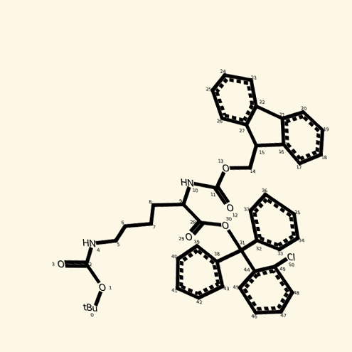 CC(C)(C)OC(=O)NCCCCC(NC(=O)OCC1c2ccccc2-c2ccccc21)C(=O)OC(c1ccccc1)(c1ccccc1)c1ccccc1Cl